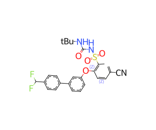 C=C(C#N)/C=C\C(Oc1cccc(-c2ccc(C(F)F)cc2)c1)=C(/C)S(=O)(=O)NC(=O)NC(C)(C)C